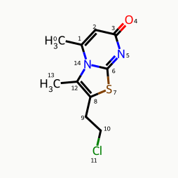 Cc1cc(=O)nc2sc(CCCl)c(C)n12